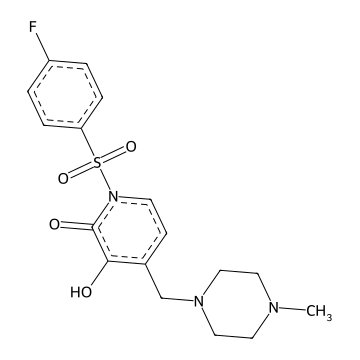 CN1CCN(Cc2ccn(S(=O)(=O)c3ccc(F)cc3)c(=O)c2O)CC1